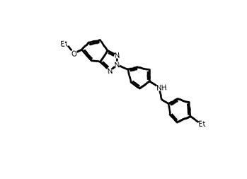 CCOc1ccc2nn(-c3ccc(NCc4ccc(CC)cc4)cc3)nc2c1